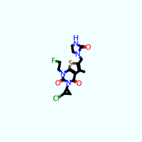 Cc1c(CN2CCNC2=O)sc2c1c(=O)n(C1CC1Cl)c(=O)n2CCF